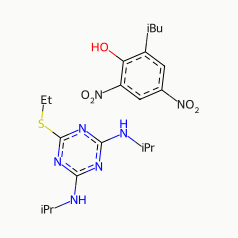 CCC(C)c1cc([N+](=O)[O-])cc([N+](=O)[O-])c1O.CCSc1nc(NC(C)C)nc(NC(C)C)n1